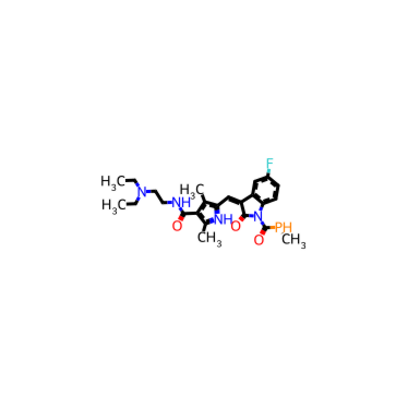 CCN(CC)CCNC(=O)c1c(C)[nH]c(/C=C2\C(=O)N(C(=O)PC)c3ccc(F)cc32)c1C